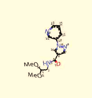 COC(CNC(=O)c1cnn(-c2cccnc2)c1)OC